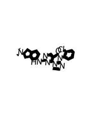 CN(C)C1Cc2ccc(Nc3ncc4c(=O)n(-c5ccccc5Cl)c5nccn5c4n3)cc2C1